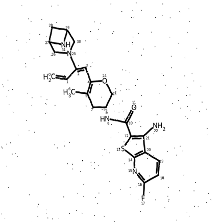 C=C/C(=C\C1=C(C)C[C@@H](NC(=O)c2sc3nc(F)ccc3c2N)CO1)N1CC2CC(C1)N2